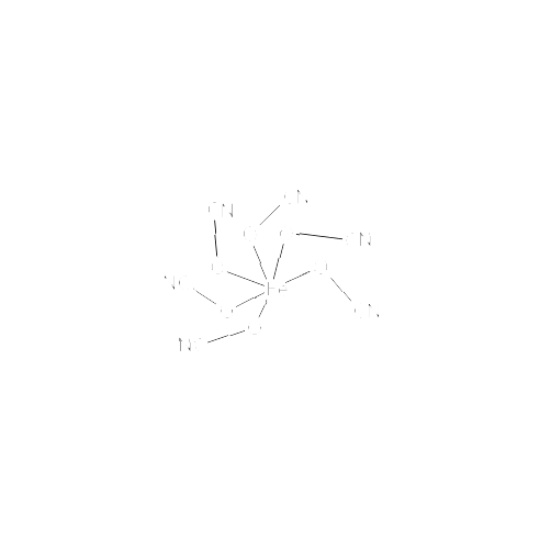 N#C[O][Fe]([O]C#N)([O]C#N)([O]C#N)([O]C#N)[O]C#N